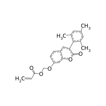 C=CC(=O)OCOc1ccc2cc(-c3c(C)cc(C)cc3C)c(=O)oc2c1